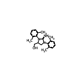 Cc1cccc(C)c1N1CC(CO)N(c2c(C)cccc2C)C1=N